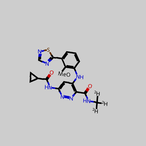 [2H]C([2H])([2H])NC(=O)c1nnc(NC(=O)C2CC2)cc1Nc1cccc(-c2ncns2)c1OC